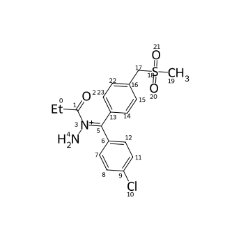 CCC(=O)[N+](N)=C(c1ccc(Cl)cc1)c1ccc(CS(C)(=O)=O)cc1